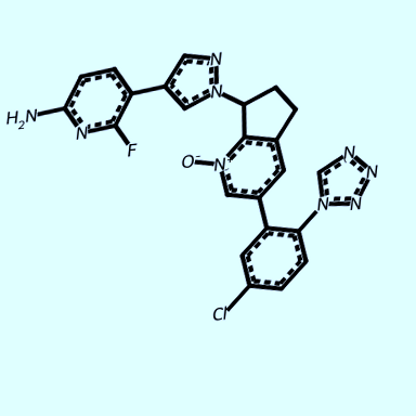 Nc1ccc(-c2cnn(C3CCc4cc(-c5cc(Cl)ccc5-n5cnnn5)c[n+]([O-])c43)c2)c(F)n1